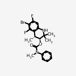 C[C@@H]1c2c(cc(F)c(Br)c2F)NC(C)(C)[C@H]1OC(=O)N(C)c1ccccc1